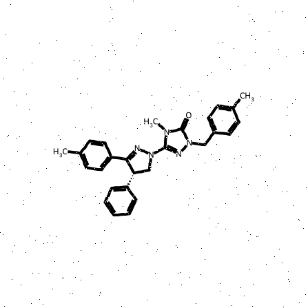 Cc1ccc(Cn2nc(N3C[C@H](c4ccccc4)C(c4ccc(C)cc4)=N3)n(C)c2=O)cc1